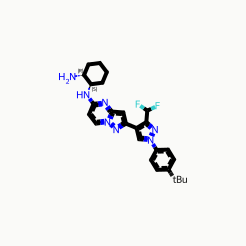 CC(C)(C)c1ccc(-n2cc(-c3cc4nc(N[C@H]5CCCC[C@H]5N)ccn4n3)c(C(F)F)n2)cc1